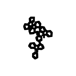 CC1(C)c2ccccc2-c2cccc(N(c3ccc(-c4cccc5c4c4ccccc4n5-c4ccccc4)cc3)c3cccc4c3-c3ccccc3C43c4ccccc4-c4ccccc43)c21